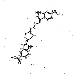 COc1ccc2c(CCCCN3CCC(c4cc5cc(C(=O)O)ccc5[nH]4)CC3)c[nH]c2c1